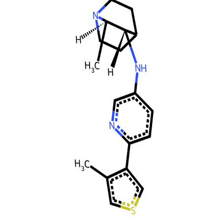 Cc1cscc1-c1ccc(N[C@H]2C3CCN(CC3)[C@@H]2C)cn1